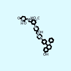 O=C1CCC(NCc2cc(N3CCC(O)(CN4CCN(c5ccc(C6c7ccc(O)cc7CC[C@@H]6c6ccccc6)cc5)CC4)CC3)ccc2C(=O)O)C(=O)N1